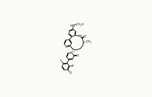 C[C@@H]1CCC[C@H](n2ccc(-c3c(F)ccc(Cl)c3F)cc2=O)c2cc(ccn2)-c2ccc(NC(=O)O)cc2NC1=O